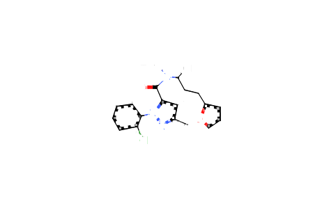 CC(CCc1ccco1)N(C)C(=O)c1cc(C(F)(F)F)nn1-c1ccccc1Cl